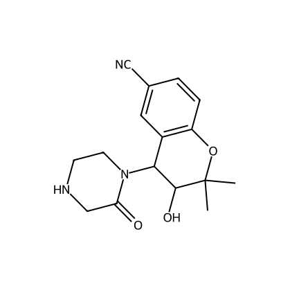 CC1(C)Oc2ccc(C#N)cc2C(N2CCNCC2=O)C1O